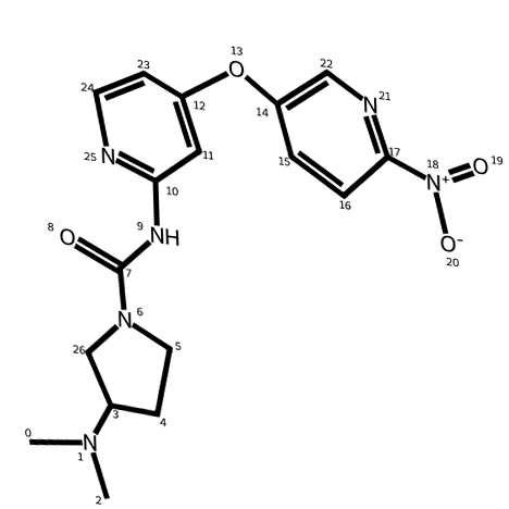 CN(C)C1CCN(C(=O)Nc2cc(Oc3ccc([N+](=O)[O-])nc3)ccn2)C1